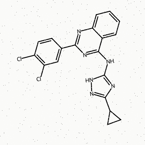 Clc1ccc(-c2nc(Nc3nc(C4CC4)n[nH]3)c3ccccc3n2)cc1Cl